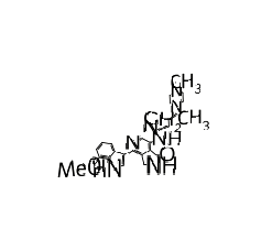 C=N/C(=C\C=C(/C)N1CCN(C)CC1)Nc1cnc(-c2c[nH]c3c(OC)cccc23)c2c1C(=O)NC2